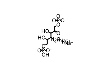 O.O=C(COP(=O)([O-])[O-])C(O)C(O)C(O)COP(=O)([O-])O.[Na+].[Na+].[Na+]